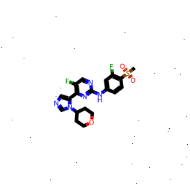 CS(=O)(=O)c1ccc(Nc2ncc(F)c(-c3cncn3C3CCOCC3)n2)cc1F